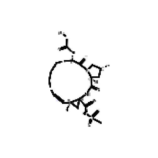 C[C@@H]1C[C@H]2C(=O)N[C@]3(C(=O)NS(C)(=O)=O)C[C@H]3/C=C\CCCCC[C@H](NC(=O)OC(C)(C)C)C(=O)N2C1